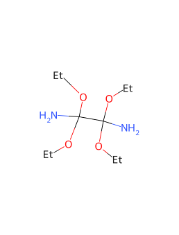 CCOC(N)(OCC)C(N)(OCC)OCC